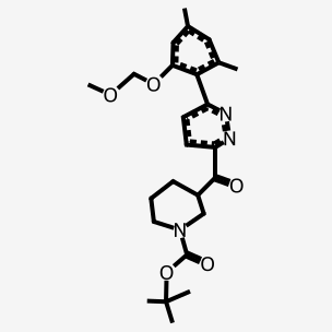 COCOc1cc(C)cc(C)c1-c1ccc(C(=O)C2CCCN(C(=O)OC(C)(C)C)C2)nn1